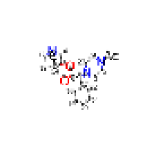 CC(=O)N1CCN(C(C(=O)OC2CN3CCC2CC3)c2ccccc2)CC1